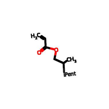 C=CC(=O)OCC(C)C(C)CCC